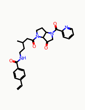 C=Cc1ccc(C(=O)NCCC(C)CC(=O)N2CCC3C2C(=O)CN3C(=O)c2ccccn2)cc1